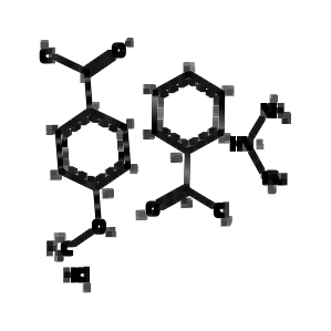 CC(C)(C)NN.Cl.O=C(Cl)c1ccc(OC(F)(F)F)cc1.O=C(Cl)c1ccccc1